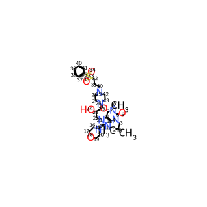 CC(C)Cn1c(=O)n(C)c(=O)c2c1nc(N1CCOCC1)n2CC(O)CN1CCN(CCCS(=O)(=O)c2ccccc2)CC1